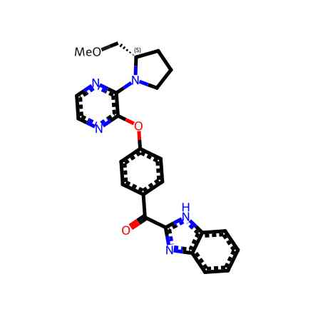 COC[C@@H]1CCCN1c1nccnc1Oc1ccc(C(=O)c2nc3ccccc3[nH]2)cc1